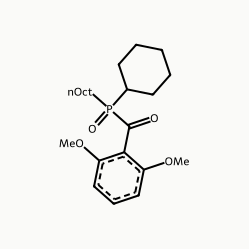 CCCCCCCCP(=O)(C(=O)c1c(OC)cccc1OC)C1CCCCC1